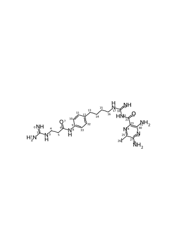 N=C(N)NCCC(=O)Nc1ccc(CCCCNC(=N)NC(=O)c2nc(I)c(N)nc2N)cc1